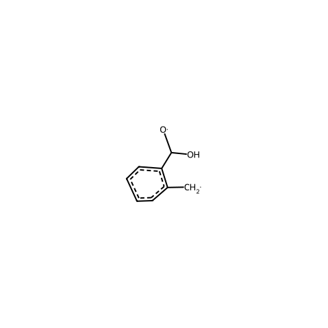 [CH2]c1ccccc1C([O])O